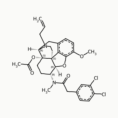 C=CCN1CC[C@]23c4c5ccc(OC)c4O[C@H]2[C@H](N(C)C(=O)Cc2ccc(Cl)c(Cl)c2)CC[C@@]3(OC(C)=O)[C@H]1C5